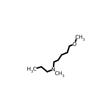 CCCN(C)CCCCCOC